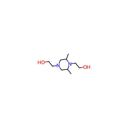 CC1CN(CCO)CC(C)N1CCO